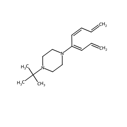 C=C/C=C\C(=C/C=C)N1CCN(C(C)(C)C)CC1